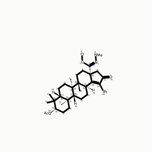 CN/N=C(\OCl)[C@@]12CC[C@]3(C)[C@H](CC[C@@H]4[C@@]5(C)CC[C@H](OC(C)=O)C(C)(C)[C@@H]5CC[C@]43C)C1=C(C(C)C)C(=O)C2